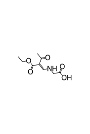 CCOC(=O)/C(=C/NCC(=O)O)C(C)=O